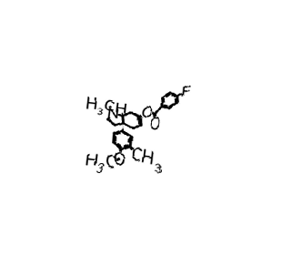 COc1ccc([C@@]23CC=C(OC(=O)c4ccc(F)cc4)C[C@@H]2N(C)CC3)cc1C